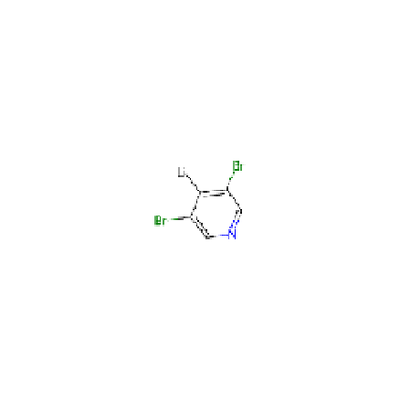 [Li][c]1c(Br)cncc1Br